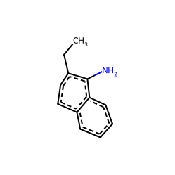 CCc1ccc2ccccc2c1N